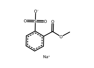 COC(=O)c1ccccc1S(=O)(=O)[O-].[Na+]